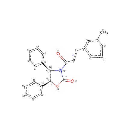 Cc1cccc(/C=C/C(=O)N2C(=O)O[C@@H](c3ccccc3)[C@H]2c2ccccc2)c1